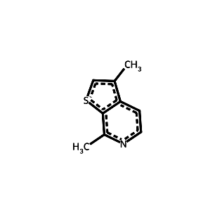 Cc1csc2c(C)nccc12